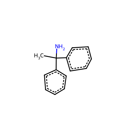 CC(N)(c1ccccc1)c1ccccc1